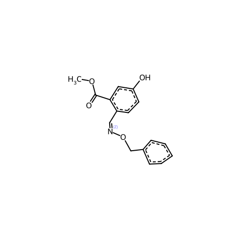 COC(=O)c1cc(O)ccc1/C=N\OCc1ccccc1